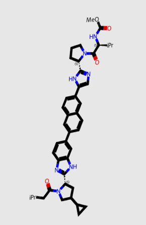 COC(=O)N[C@H](C(=O)N1CCC[C@H]1c1ncc(-c2ccc3cc(-c4ccc5nc([C@@H]6CC(C7CC7)CN6C(=O)CC(C)C)[nH]c5c4)ccc3c2)[nH]1)C(C)C